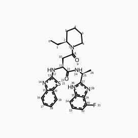 CC[C@H]1CCCCN1C(=O)C[C@H](Nc1nc2ccccc2s1)C(=O)N[C@@H](C)c1nc2c(F)cccc2[nH]1